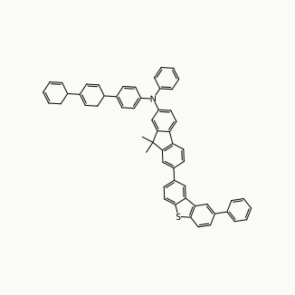 CC1(C)c2cc(-c3ccc4sc5ccc(-c6ccccc6)cc5c4c3)ccc2-c2ccc(N(c3ccccc3)c3ccc(C4C=CC(C5C=CC=CC5)=CC4)cc3)cc21